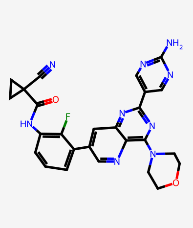 N#CC1(C(=O)Nc2cccc(-c3cnc4c(N5CCOCC5)nc(-c5cnc(N)nc5)nc4c3)c2F)CC1